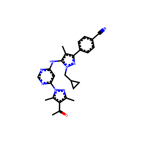 CC(=O)c1c(C)nn(-c2cc(Nc3c(C)c(-c4ccc(C#N)cc4)nn3CC3CC3)ncn2)c1C